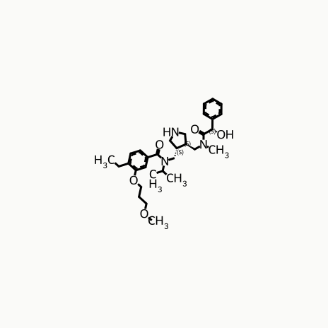 CCc1ccc(C(=O)N(C[C@@H]2CNC[C@H]2CN(C)C(=O)[C@@H](O)c2ccccc2)C(C)C)cc1OCCCOC